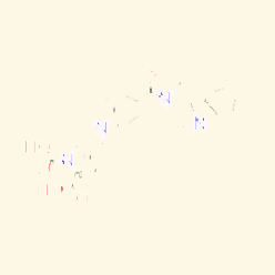 CN(C[C@H]1C[C@@H](C(=O)O)N(C(=O)O)C1)c1ccc(C(=O)N2CCC(c3ccccc3)(N(C)C)CC2)cc1